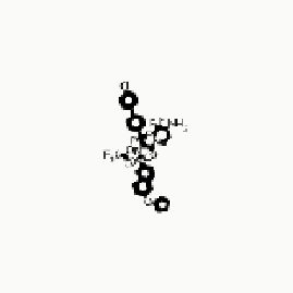 N[C@H]1CCN(C(=O)[C@H](N(OC(=O)C(F)(F)F)S(=O)(=O)c2ccc3cc(OC4CCCC4)ccc3c2)C(F)(F)c2ccc(-c3ccc(Cl)cc3)cc2)CC1(F)F